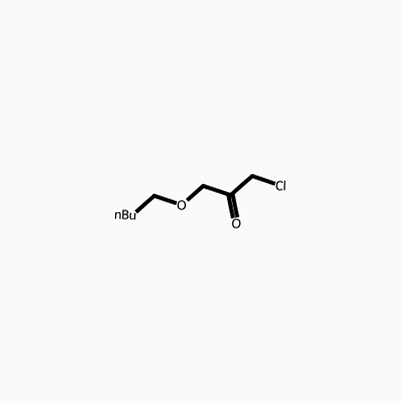 CCCCCOCC(=O)CCl